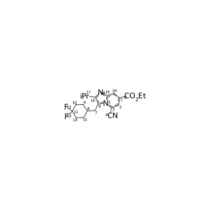 CCOC(=O)c1cc(C#N)n2c(CC3CCC(F)(F)CC3)c(C(C)C)nc2c1